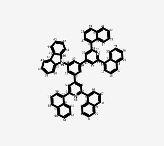 c1ccc2c(-c3cc(-c4cc(-c5cc(-c6cccc7ccccc67)nc(-c6cccc7ccccc67)c5)cc(-n5c6ccccc6c6ccccc65)c4)cc(-c4cccc5ccccc45)n3)cccc2c1